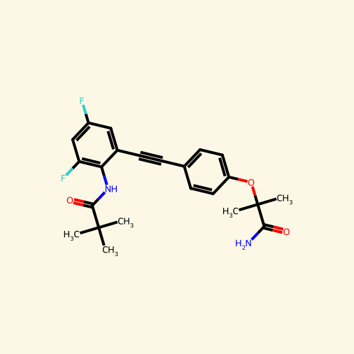 CC(C)(C)C(=O)Nc1c(F)cc(F)cc1C#Cc1ccc(OC(C)(C)C(N)=O)cc1